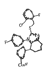 COc1cccc(C2CCCc3nc(SCc4c(F)cccc4Cl)n(-c4ccc(F)cc4)c32)c1